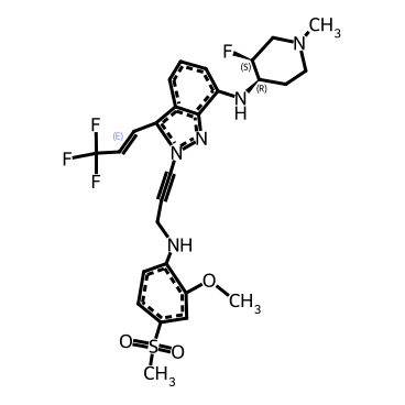 COc1cc(S(C)(=O)=O)ccc1NCC#Cn1nc2c(N[C@@H]3CCN(C)C[C@@H]3F)cccc2c1/C=C/C(F)(F)F